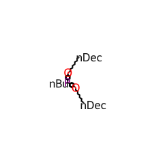 CCCCCCCCCCCCCCCCCCOc1ccc(P(CCCC)c2ccc(OCCCCCCCCCCCCCCCCCC)cc2)cc1